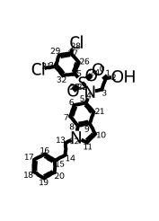 O=C(O)CN(c1ccc2c(ccn2CCc2ccccc2)c1)S(=O)(=O)c1cc(Cl)cc(Cl)c1